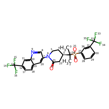 CC(C)([C@@H]1CCN(c2cnc3cc(C(F)(F)F)ccc3c2)C(=O)C1)S(=O)(=O)c1cccc(C(F)(F)F)c1